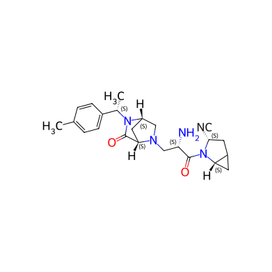 Cc1ccc([C@H](C)N2C(=O)[C@@H]3C[C@H]2CN3C[C@H](N)C(=O)N2[C@H](C#N)CC3C[C@@H]32)cc1